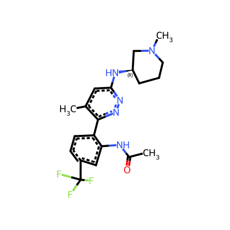 CC(=O)Nc1cc(C(F)(F)F)ccc1-c1nnc(N[C@@H]2CCCN(C)C2)cc1C